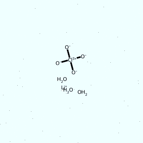 O.O.O.[Li+].[O-][Cl+3]([O-])([O-])[O-]